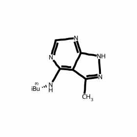 CC[C@@H](C)Nc1ncnc2[nH]nc(C)c12